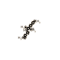 CNc1cc(Nc2cc(-c3ccc4c(cnn4C)c3)ncn2)c(OC)cc1N1CCC(N2CCC(OC)CC2)CC1